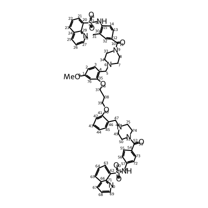 COc1ccc(CN2CCN(C(=O)c3ccc(NS(=O)(=O)c4cccc5cccnc45)c(C)c3)CC2)c(OCCCOc2ccccc2CN2CCN(C(=O)c3ccc(NS(=O)(=O)c4cccc5cccnc45)cc3)CC2)c1